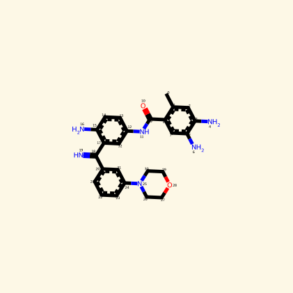 Cc1cc(N)c(N)cc1C(=O)Nc1ccc(N)c(C(=N)c2cccc(N3CCOCC3)c2)c1